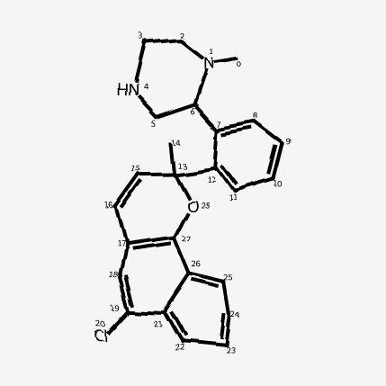 CN1CCNCC1c1ccccc1C1(C)C=Cc2cc(Cl)c3ccccc3c2O1